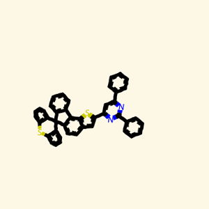 c1ccc(-c2cc(-c3cc4ccc5c(c4s3)-c3ccccc3C53c4ccccc4Sc4ccccc43)nc(-c3ccccc3)n2)cc1